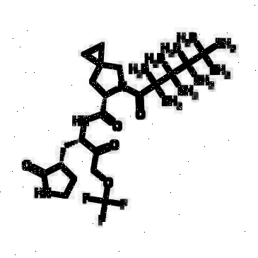 BC(B)(B)C(B)(B)C(B)(B)C(B)(B)C(=O)N1CC2(CC2)C[C@H]1C(=O)N[C@@H](C[C@@H]1CCNC1=O)C(=O)COC(F)(F)F